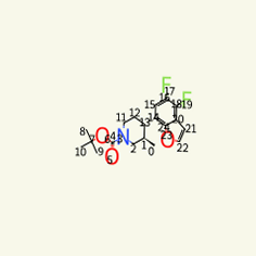 C[C@H]1CN(C(=O)OC(C)(C)C)CC[C@@H]1c1cc(F)c(F)c2ccoc12